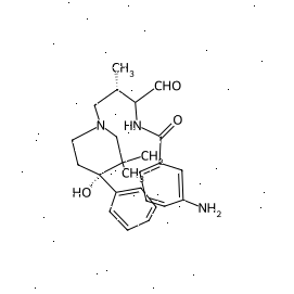 C[C@@H](CN1CC[C@](O)(c2ccccc2)C(C)(C)C1)C(C=O)NC(=O)c1cccc(N)c1